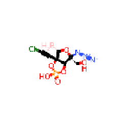 B[C@@H]1O[C@@](CO)(N=[N+]=[N-])C2OP(=O)(O)OC21C#CCl